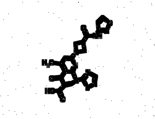 Cc1cc(N2CC(C(=O)Nc3ccon3)C2)nc2c1c(=O)c(C(=O)O)cn2-c1ncns1